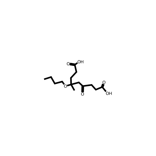 CCCCOC(C)(CCC(=O)O)CC(=O)CCC(=O)O